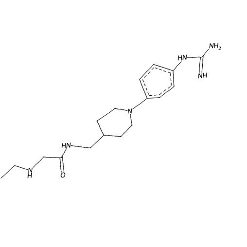 CCNCC(=O)NCC1CCN(c2ccc(NC(=N)N)cc2)CC1